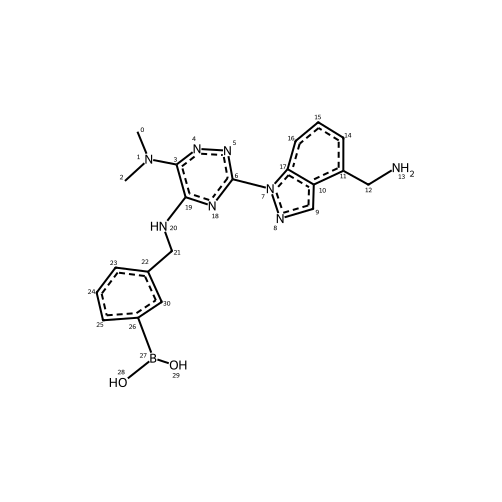 CN(C)c1nnc(-n2ncc3c(CN)cccc32)nc1NCc1cccc(B(O)O)c1